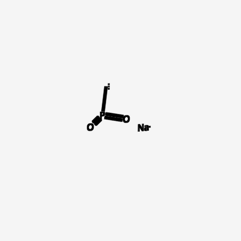 [C]P(=O)=O.[Na]